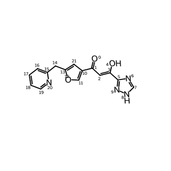 O=C(C=C(O)c1nc[nH]n1)c1coc(Cc2ccccn2)c1